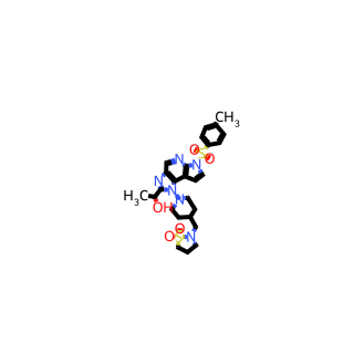 Cc1ccc(S(=O)(=O)n2ccc3c2ncc2nc(C(C)O)n(N4CCC(CN5CCCS5(=O)=O)CC4)c23)cc1